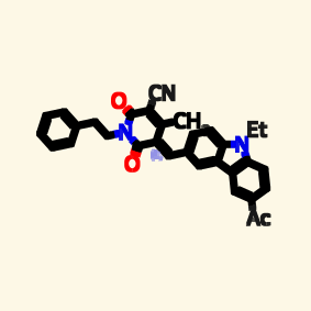 CCn1c2ccc(/C=C3/C(=O)N(CCc4ccccc4)C(=O)C(C#N)=C3C)cc2c2cc(C(C)=O)ccc21